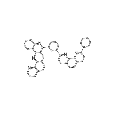 c1ccc(-c2ccc3ccc4ccc(-c5cccc(-c6nc7ccccc7c7nc8c(ccc9cccnc98)cc67)c5)nc4c3n2)cc1